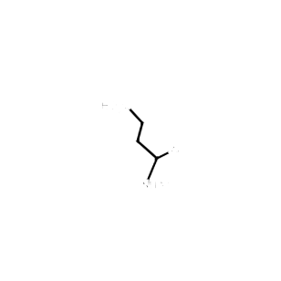 CC(=O)NC(CCC(=O)O)C(C)=O